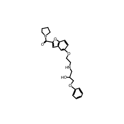 O=C(c1cc2cc(OCCNCC(O)COc3ccccc3)ccc2o1)N1CCCC1